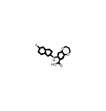 O=C(O)c1cc2c(cc1Nc1ccc3cc(F)ccc3c1)OCCCO2